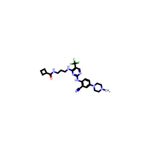 CN1CCN(c2ccc(Nc3ncc(C(F)(F)F)c(NCCCNC(=O)C4CCC4)n3)c(C#N)c2)CC1